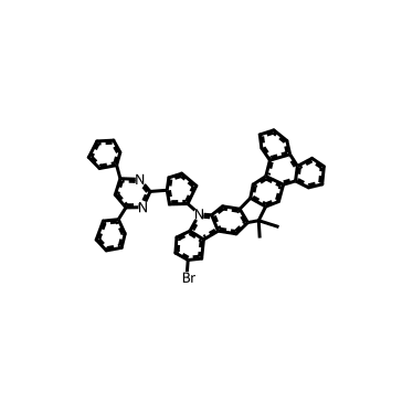 CC1(C)c2cc3c4ccccc4c4ccccc4c3cc2-c2cc3c(cc21)c1cc(Br)ccc1n3-c1cccc(-c2nc(-c3ccccc3)cc(-c3ccccc3)n2)c1